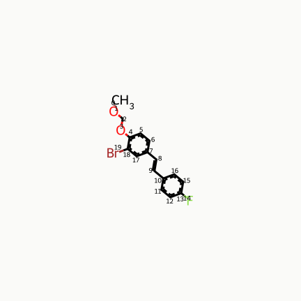 COCOc1ccc(C=Cc2ccc(F)cc2)cc1Br